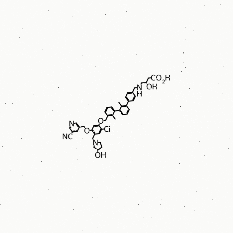 Cc1c(COc2cc(OCc3cncc(C#N)c3)c(CN3CC[C@@H](O)C3)cc2Cl)cccc1-c1cccc(-c2ccc(CNC[C@@H](O)CC(=O)O)cc2)c1C